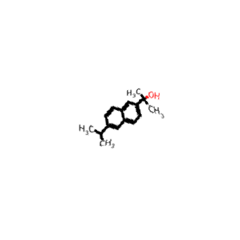 CC(C)c1ccc2cc(C(C)(C)O)ccc2c1